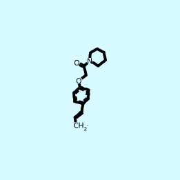 [CH2]C=Cc1ccc(OCC(=O)N2CCCCC2)cc1